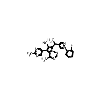 CC(c1cnn(-c2ccccc2F)c1)c1c(C#N)c(-c2cnc(C(F)(F)F)nc2)c2c(N)ncnn12